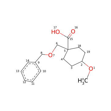 COC1CCC(COCc2ccccc2)(C(=O)O)CC1